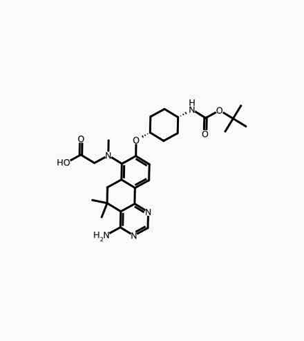 CN(CC(=O)O)c1c(O[C@H]2CC[C@@H](NC(=O)OC(C)(C)C)CC2)ccc2c1CC(C)(C)c1c(N)ncnc1-2